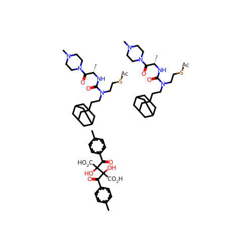 CC(=O)SCCN(CCC12CC3CC(CC(C3)C1)C2)C(=O)N[C@@H](C)C(=O)N1CCN(C)CC1.CC(=O)SCCN(CCC12CC3CC(CC(C3)C1)C2)C(=O)N[C@@H](C)C(=O)N1CCN(C)CC1.Cc1ccc(C(=O)C(O)(C(=O)O)C(O)(C(=O)O)C(=O)c2ccc(C)cc2)cc1